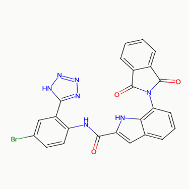 O=C(Nc1ccc(Br)cc1-c1nnn[nH]1)c1cc2cccc(N3C(=O)c4ccccc4C3=O)c2[nH]1